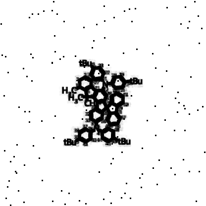 CC1CC=CC2=C1C(C)(C)c1c2c(N(c2ccc(C(C)(C)C)cc2)c2ccc(C(C)(C)C)cc2)cc2c1-c1ccc(N(c3ccc(C(C)(C)C)cc3)c3ccc(C(C)(C)C)cc3)cc1C21c2ccccc2-c2ccccc21